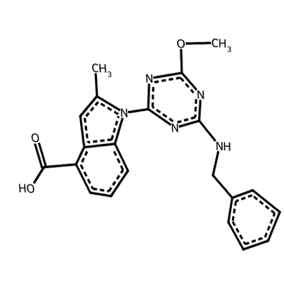 COc1nc(NCc2ccccc2)nc(-n2c(C)cc3c(C(=O)O)cccc32)n1